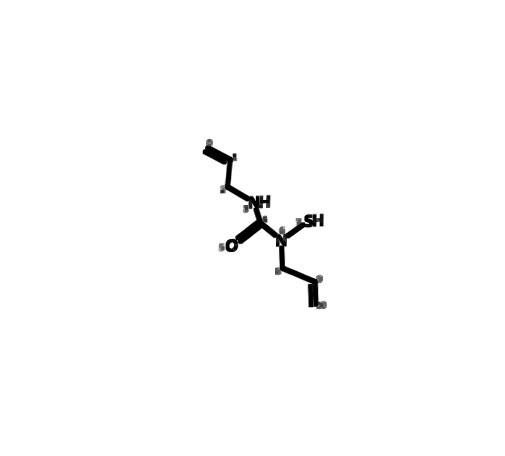 C=CCNC(=O)N(S)CC=C